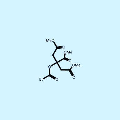 CCC(=O)OC(CC(=O)OC)(CC(=O)OC)C(=O)OC